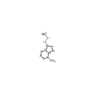 Cc1cccc2c1ncn2CCC(C)(C)C